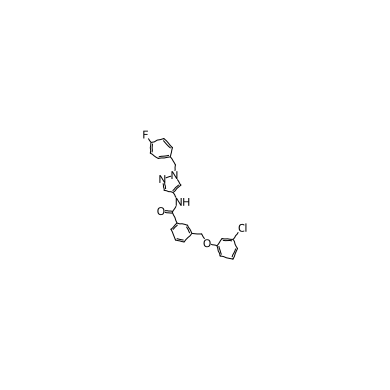 O=C(Nc1cnn(Cc2ccc(F)cc2)c1)c1cccc(COc2cccc(Cl)c2)c1